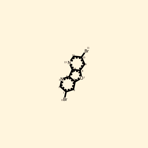 Brc1cnc2c(c1)oc1cc(Br)cnc12